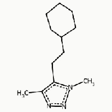 Cc1nnn(C)c1CCC1CCCCC1